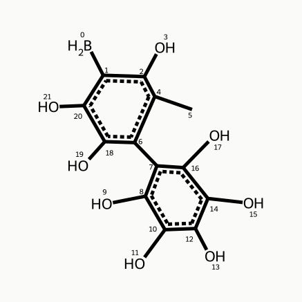 Bc1c(O)c(C)c(-c2c(O)c(O)c(O)c(O)c2O)c(O)c1O